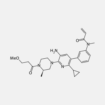 C=CC(=O)N(C)c1cccc(-c2cc(N)c(N3CCN(C(=O)CCOC)[C@H](C)C3)nc2C2CC2)c1